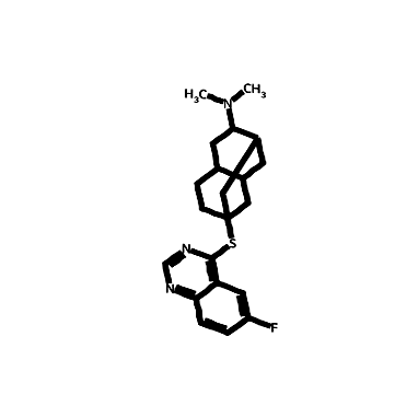 CN(C)C1CC2CCC3(Sc4ncnc5ccc(F)cc45)CC2CC1C3